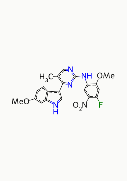 COc1ccc2c(-c3nc(Nc4cc([N+](=O)[O-])c(F)cc4OC)ncc3C)c[nH]c2c1